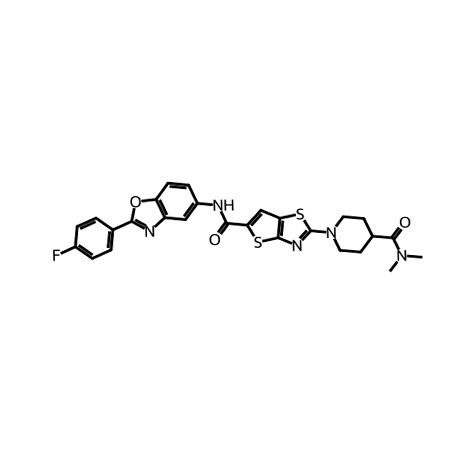 CN(C)C(=O)C1CCN(c2nc3sc(C(=O)Nc4ccc5oc(-c6ccc(F)cc6)nc5c4)cc3s2)CC1